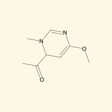 COC1=CC(C(C)=O)N(C)C=N1